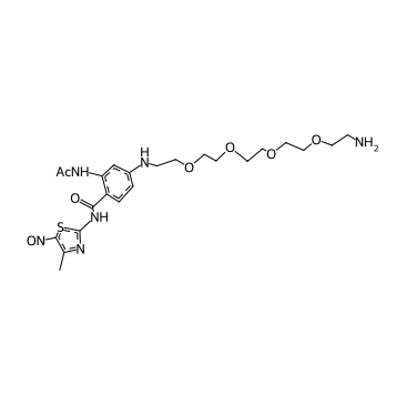 CC(=O)Nc1cc(NCCOCCOCCOCCOCCN)ccc1C(=O)Nc1nc(C)c(N=O)s1